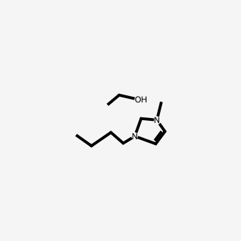 CCCCN1C=CN(C)C1.CCO